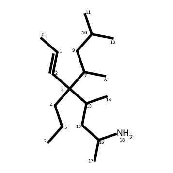 CC=CC(CCC)(C(C)CC(C)C)C(C)CC(C)N